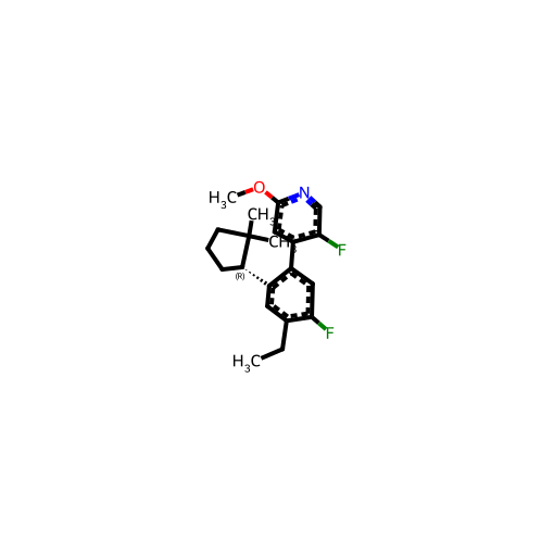 CCc1cc([C@@H]2CCCC2(C)C)c(-c2cc(OC)ncc2F)cc1F